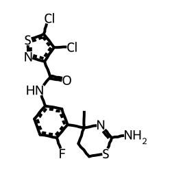 CC1(c2cc(NC(=O)c3nsc(Cl)c3Cl)ccc2F)CCSC(N)=N1